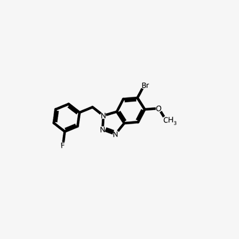 COc1cc2nnn(Cc3cccc(F)c3)c2cc1Br